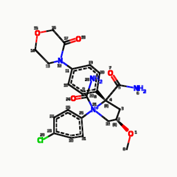 CO[C@@H]1C[C@](C(N)=O)(c2ccc(N3CCOCC3=O)cc2)[N+](C(N)=O)(c2ccc(Cl)cc2)C1